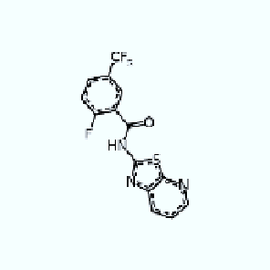 O=C(Nc1nc2cccnc2s1)c1cc(C(F)(F)F)ccc1F